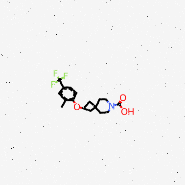 Cc1cc(C(F)(F)F)ccc1OC1CC2(CCN(C(=O)O)CC2)C1